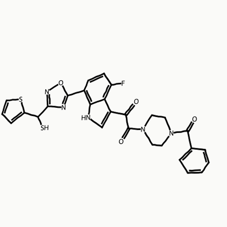 O=C(C(=O)N1CCN(C(=O)c2ccccc2)CC1)c1c[nH]c2c(-c3nc(C(S)c4cccs4)no3)ccc(F)c12